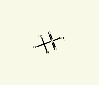 NS(=O)(=O)C(Br)(Br)Br